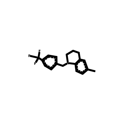 Cc1ccc2c(c1)CCCN2Cc1ccc(C(F)(F)F)cc1